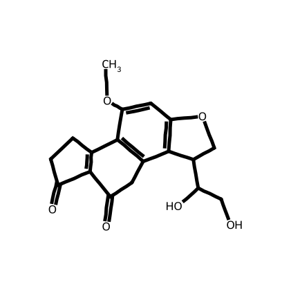 COc1cc2c(c3c1C1=C(C(=O)CC1)C(=O)C3)C(C(O)CO)CO2